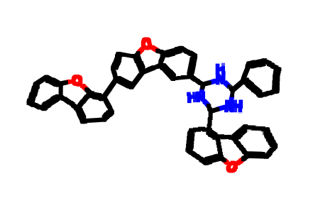 c1ccc(C2NC(c3ccc4oc5ccc(-c6cccc7c6oc6ccccc67)cc5c4c3)NC(c3cccc4oc5ccccc5c34)N2)cc1